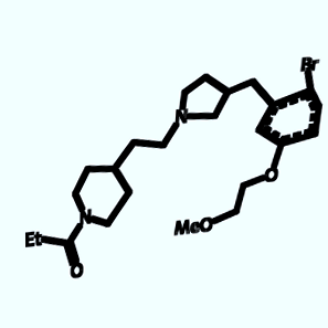 CCC(=O)N1CCC(CCN2CCC(Cc3cc(OCCOC)ccc3Br)C2)CC1